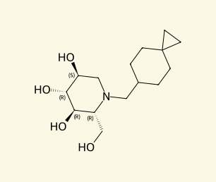 OC[C@@H]1[C@@H](O)[C@H](O)[C@@H](O)CN1CC1CCC2(CC1)CC2